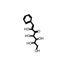 O=C(C(O)=Cc1ccccc1)C(O)C(O)C(O)CO